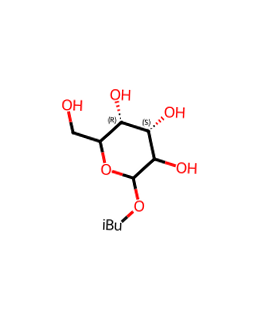 CCC(C)OC1OC(CO)[C@H](O)[C@H](O)C1O